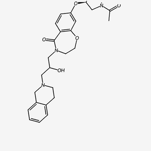 CC(=O)N1CC[C@H](Oc2ccc3c(c2)OCCN(CC(O)CN2CCc4ccccc4C2)C3=O)C1